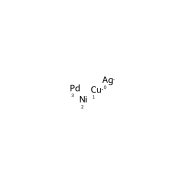 [Ag].[Cu].[Ni].[Pd]